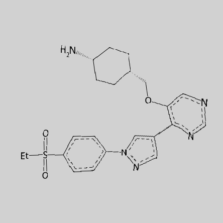 CCS(=O)(=O)c1ccc(-n2cc(-c3ncncc3OC[C@H]3CC[C@@H](N)CC3)cn2)cc1